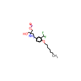 CCCCCCCOc1ccc(CCC(N)(CO)COP=O)cc1C(F)F